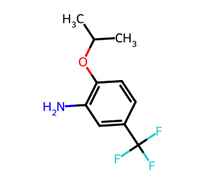 CC(C)Oc1ccc(C(F)(F)F)cc1N